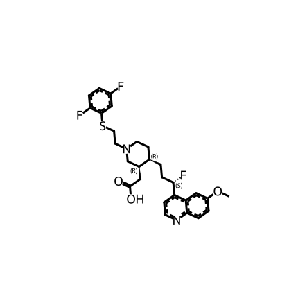 COc1ccc2nccc([C@@H](F)CC[C@@H]3CCN(CCSc4cc(F)ccc4F)C[C@@H]3CC(=O)O)c2c1